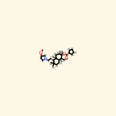 COC1CCN(CC[C@@H]2C(C)(C)CCC3[C@]4(C)CO[C@@H](C5CCCC5)O[C@@H]4CC[C@]32C)C1